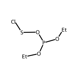 CCOP(OCC)OSCl